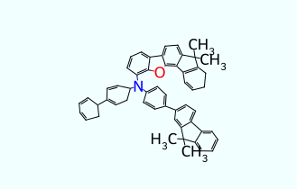 CC1(C)C2=C(C=CCC2)c2c1ccc1c2oc2c(N(c3ccc(-c4ccc5c(c4)C(C)(C)c4ccccc4-5)cc3)C3C=CC(C4C=CC=CC4)=CC3)cccc21